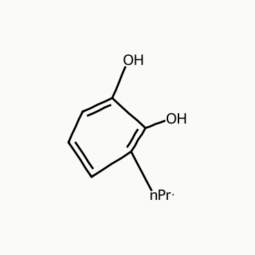 CC[CH]c1cccc(O)c1O